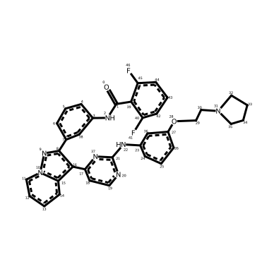 O=C(Nc1cccc(-c2nn3ccccc3c2-c2ccnc(Nc3cccc(OCCN4CCCC4)c3)n2)c1)c1c(F)cccc1F